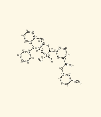 Cc1cccc(OC(=O)c2cccc(N(CC(=O)Nc3ccccc3Sc3ccccc3)S(C)(=O)=O)c2)c1